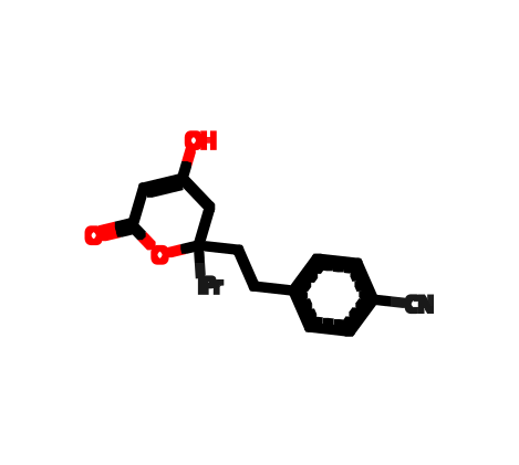 CC(C)C1(CCc2ccc(C#N)cc2)CC(O)=CC(=O)O1